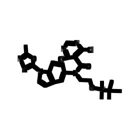 Cc1nnc(-n2ccc3cc(N(CCO[Si](C)(C)C(C)(C)C)C(=O)c4c(Cl)ncnc4Cl)ccc32)o1